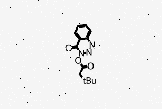 CC(C)(C)CC(=O)On1nnc2ccccc2c1=O